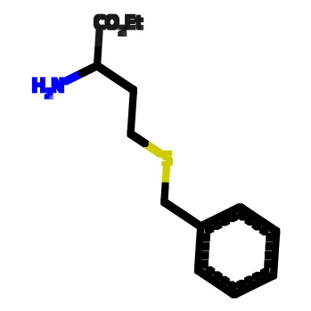 CCOC(=O)C(N)CCSCc1ccccc1